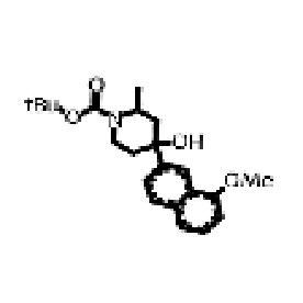 COc1cccc2ccc(C3(O)CCN(C(=O)OC(C)(C)C)C(C)C3)cc12